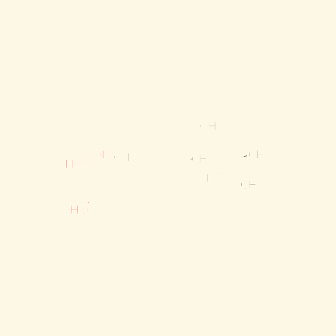 C=C1C(=CC=C2CCC[C@@]3(C)C2CC[C@@H]3[C@H](C)/C=C/[C@@H](C)C(C)C)C[C@@H](O)CC1(O)O